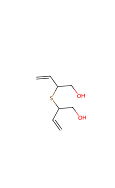 C=CC(CO)SC(C=C)CO